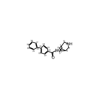 O=C(NCC1C2CCC1CNC2)c1ccc(-c2ccccc2)cc1